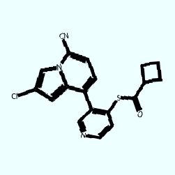 N#Cc1ccc(-c2cnccc2SC(=O)C2CCC2)c2cc(Cl)cn12